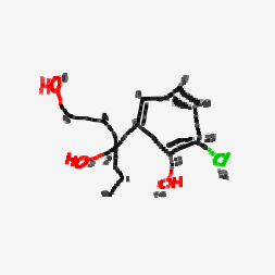 CCC(O)(CCO)c1cccc(Cl)c1O